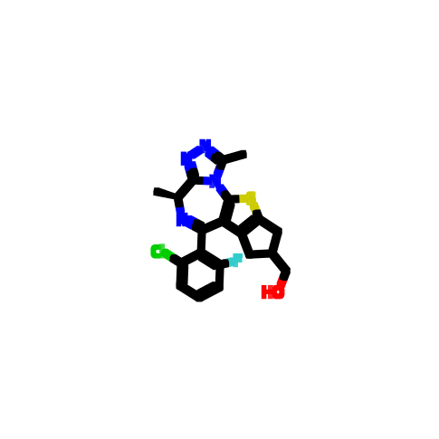 Cc1nnc2n1-c1sc3c(c1C(c1c(F)cccc1Cl)=N[C@H]2C)CC(CO)C3